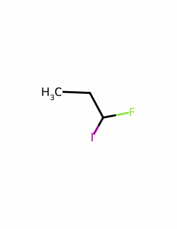 CCC(F)I